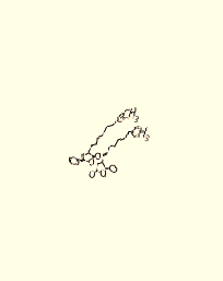 CCCCCCC=CC1CC(=O)OC1=O.CCCCCCC=CC1CC(=O)OC1=O